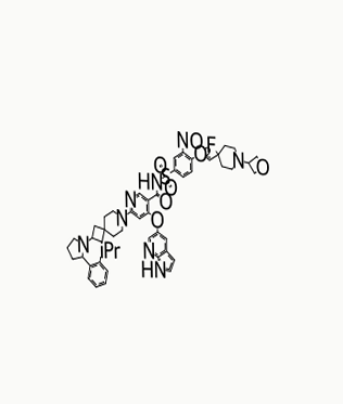 CC(C)c1ccccc1C1CCCN1C1CC2(CCN(c3cc(Oc4cnc5[nH]ccc5c4)c(C(=O)NS(=O)(=O)c4ccc(OCC5(F)CCN(C6COC6)CC5)c([N+](=O)[O-])c4)cn3)CC2)C1